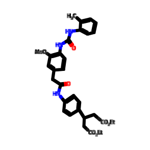 CCOC(=O)CC(CC(=O)OCC)c1ccc(NC(=O)Cc2ccc(NC(=O)Nc3ccccc3C)c(OC)c2)cc1